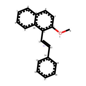 COc1ccc2ccccc2c1/C=C/c1ccccc1